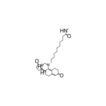 CNC(=O)CCCCCCCCCC[C@H]1C[C@]2(C)C(=O)CC[C@H]2[C@@H]2CCC3=CC(=O)CCC3=C12